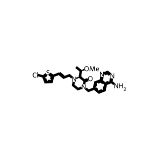 CO[C@H](C)[C@H]1C(=O)N(Cc2ccc3c(N)ncnc3c2)CCN1CC=Cc1ccc(Cl)s1